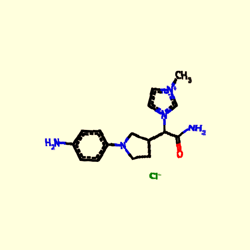 C[n+]1ccn(C(C(N)=O)C2CCN(c3ccc(N)cc3)C2)c1.[Cl-]